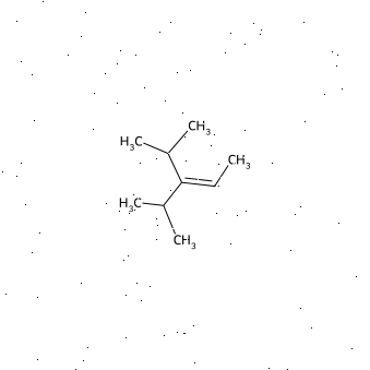 C[C]=C(C(C)C)C(C)C